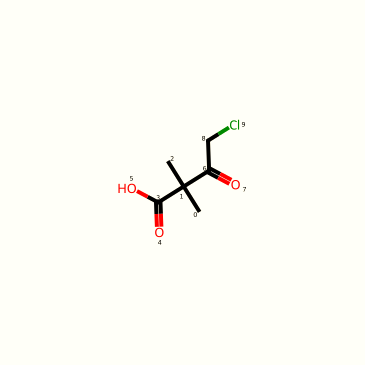 CC(C)(C(=O)O)C(=O)CCl